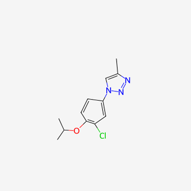 Cc1cn(-c2ccc(OC(C)C)c(Cl)c2)nn1